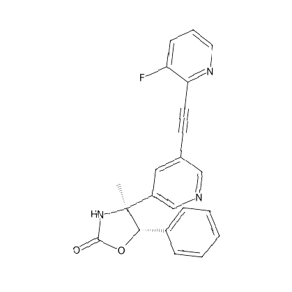 C[C@@]1(c2cncc(C#Cc3ncccc3F)c2)NC(=O)O[C@H]1c1ccccc1